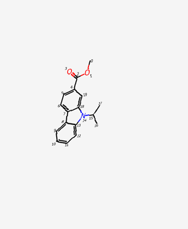 COC(=O)c1ccc2c3ccccc3n(C(C)C)c2c1